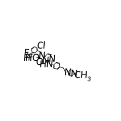 CN1CCN(CCc2ccc(Nc3nccc(N(Cc4cc(C(F)(F)F)ccc4Cl)C(=O)O)n3)cc2)CC1